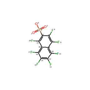 [O]S(=O)(=O)c1c(F)c(F)c2c(F)c(F)c(F)c(F)c2c1F